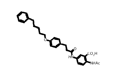 CC(=O)Nc1ccc(NC(=O)CCc2ccc(OCCCCCc3ccccc3)cc2)cc1C(=O)O